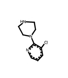 Clc1c[c]cnc1N1CCNCC1